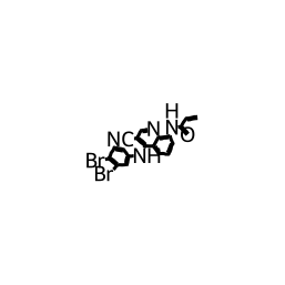 C=CC(=O)Nc1cccc2c(Nc3ccc(Br)c(Br)c3)c(C#N)cnc12